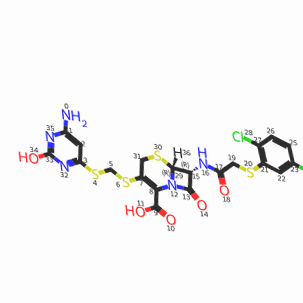 Nc1cc(SCSC2=C(C(=O)O)N3C(=O)[C@@H](NC(=O)CSc4cc(Cl)ccc4Cl)[C@H]3SC2)nc(O)n1